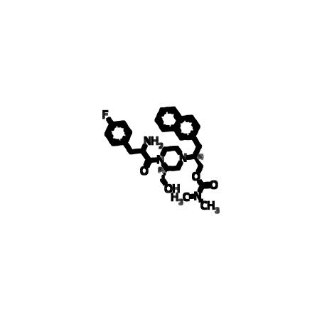 CN(C)C(=O)OC[C@H](Cc1ccc2ccccc2c1)N1CCN(C(=O)C(N)Cc2ccc(F)cc2)[C@@H](CO)C1